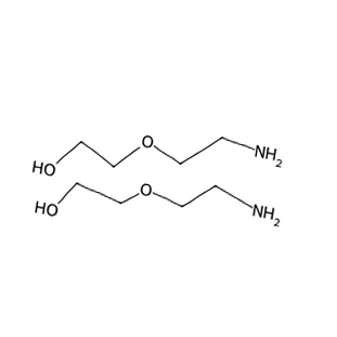 NCCOCCO.NCCOCCO